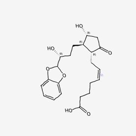 O=C(O)CCC/C=C\C[C@H]1C(=O)C[C@@H](O)[C@@H]1CC[C@@H](O)C1Oc2ccccc2O1